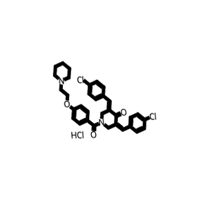 Cl.O=C1/C(=C\c2ccc(Cl)cc2)CN(C(=O)c2ccc(OCCN3CCCCC3)cc2)C/C1=C\c1ccc(Cl)cc1